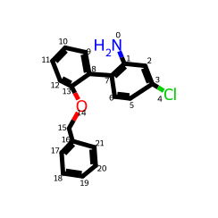 Nc1cc(Cl)ccc1-c1ccccc1OCc1ccccc1